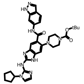 CC(C)(C)OC(=O)N1CCN(c2cc3[nH]c(Nc4nccn4C4CCCC4)nc3cc2C(=O)Nc2ccc3cn[nH]c3c2)CC1